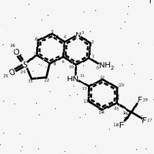 Nc1cnc2ccc3c(c2c1Nc1ccc(C(F)(F)F)cc1)CCS3(=O)=O